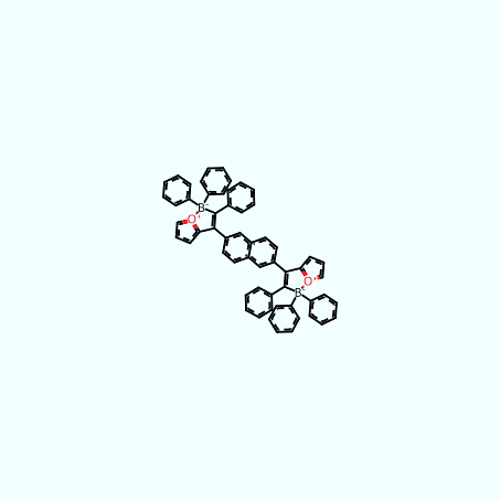 c1ccc(C2=C(c3ccc4cc(C5=C(c6ccccc6)[B-](c6ccccc6)(c6ccccc6)[o+]6cccc65)ccc4c3)c3ccc[o+]3[B-]2(c2ccccc2)c2ccccc2)cc1